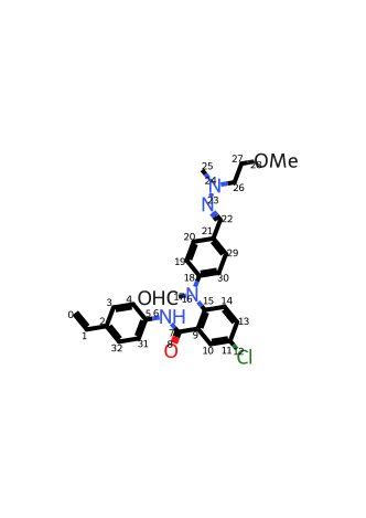 C=Cc1ccc(NC(=O)c2cc(Cl)ccc2N(C=O)c2ccc(C=NN(C)CCOC)cc2)cc1